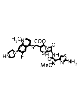 CO/N=C(\C(=O)NC1C(=O)N2C(C(=O)[O-])=C(CSc3cc[n+](C)c4cc(N5CCNCC5)c(F)cc34)CS[C@H]12)c1csc(N)n1